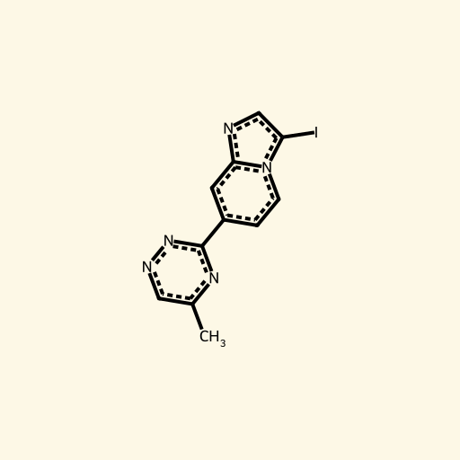 Cc1cnnc(-c2ccn3c(I)cnc3c2)n1